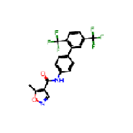 Cc1oncc1C(=O)Nc1ccc(-c2cc(C(F)(F)F)ccc2C(F)(F)F)cc1